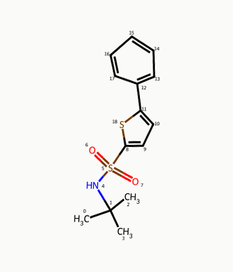 CC(C)(C)NS(=O)(=O)c1ccc(-c2ccccc2)s1